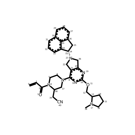 C=CC(=O)N1CCN(c2nc(OCC3CCCN3C)nc3c2CN([C@H]2Cc4cccc5cccc2c45)C3)CC1CC#N